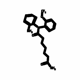 NC(=O)CCCCCC(=O)N(c1ccccc1N)c1ccccc1OC(F)(F)F